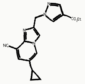 CCOC(=O)c1cnn(Cc2cn3cc(C4CC4)cc(C#N)c3n2)c1